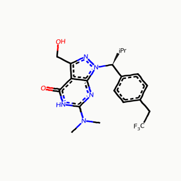 CC(C)[C@@H](c1ccc(CC(F)(F)F)cc1)n1nc(CO)c2c(=O)[nH]c(N(C)C)nc21